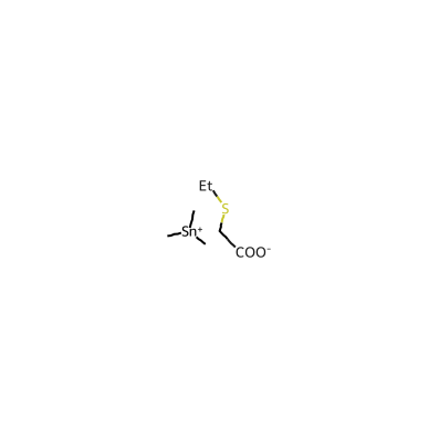 CCSCC(=O)[O-].[CH3][Sn+]([CH3])[CH3]